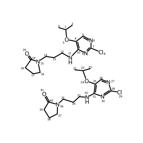 CC(C)Oc1cnc(Cl)nc1NCCCN1CCCC1=O.CC(C)Oc1cnc(Cl)nc1NCCCN1CCCC1=O